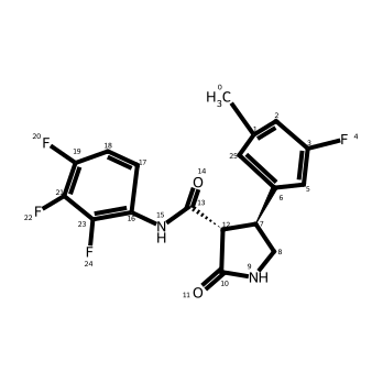 Cc1cc(F)cc([C@H]2CNC(=O)[C@@H]2C(=O)Nc2ccc(F)c(F)c2F)c1